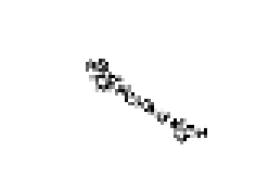 O=C(O)NCCOCCOCCOCCn1ccc2c([N+](=O)[O-])cccc21